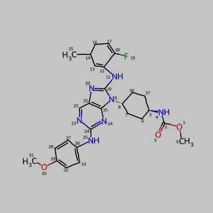 COC(=O)N[C@H]1CC[C@H](n2c(NC3=CC(C)CC=C3F)nc3cnc(Nc4ccc(OC)cc4)nc32)CC1